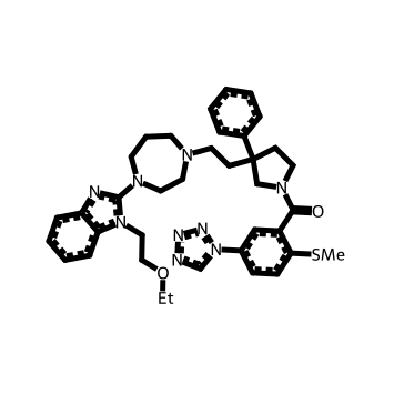 CCOCCn1c(N2CCCN(CCC3(c4ccccc4)CCN(C(=O)c4cc(-n5cnnn5)ccc4SC)C3)CC2)nc2ccccc21